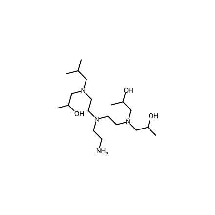 CC(C)CN(CCN(CCN)CCN(CC(C)O)CC(C)O)CC(C)O